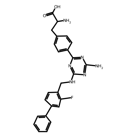 Nc1nc(NCc2ccc(-c3ccccc3)cc2F)nc(-c2ccc(CC(N)C(=O)O)cc2)n1